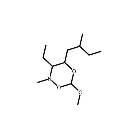 CCC(C)CC1OC(OC)ON(C)C1CC